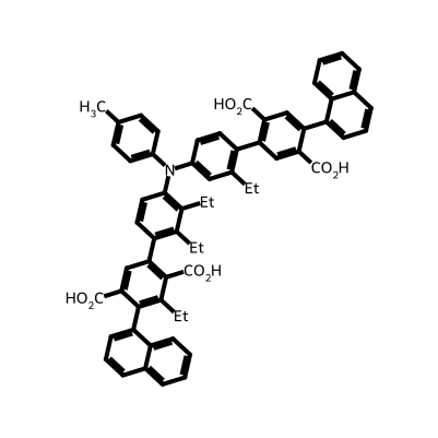 CCc1cc(N(c2ccc(C)cc2)c2ccc(-c3cc(C(=O)O)c(-c4cccc5ccccc45)c(CC)c3C(=O)O)c(CC)c2CC)ccc1-c1cc(C(=O)O)c(-c2cccc3ccccc23)cc1C(=O)O